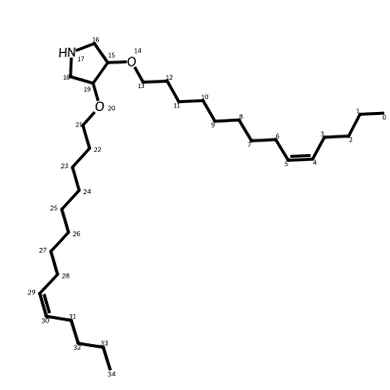 CCCC/C=C\CCCCCCCCOC1CNCC1OCCCCCCCC/C=C\CCCC